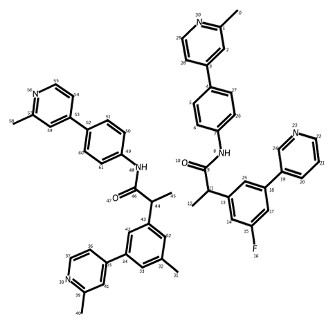 Cc1cc(-c2ccc(NC(=O)C(C)c3cc(F)cc(-c4cccnc4)c3)cc2)ccn1.Cc1cc(-c2ccnc(C)c2)cc(C(C)C(=O)Nc2ccc(-c3ccnc(C)c3)cc2)c1